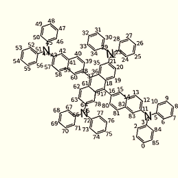 c1ccc(N(c2ccccc2)c2ccc3cc(-c4c5ccc(N(c6ccccc6)c6ccccc6)cc5c(-c5ccc6cc(N(c7ccccc7)c7ccccc7)ccc6c5)c5ccc(N(c6ccccc6)c6ccccc6)cc45)ccc3c2)cc1